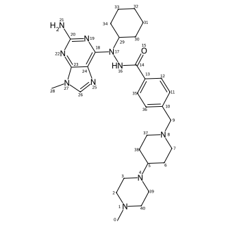 CN1CCN(C2CCN(Cc3ccc(C(=O)NN(c4nc(N)nc5c4ncn5C)C4CCCCC4)cc3)CC2)CC1